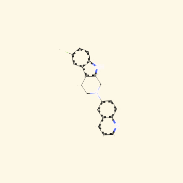 Fc1ccc2[nH]c3c(c2c1)CCN(c1ccc2ncccc2c1)C3